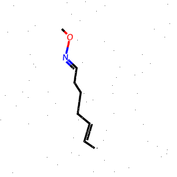 [CH2]C=CCCCC=NOC